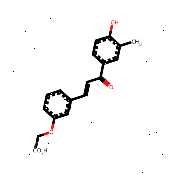 Cc1cc(C(=O)C=Cc2cccc(OCC(=O)O)c2)ccc1O